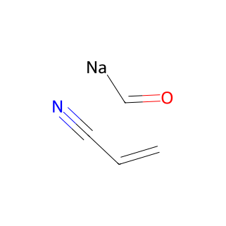 C=CC#N.O=[CH][Na]